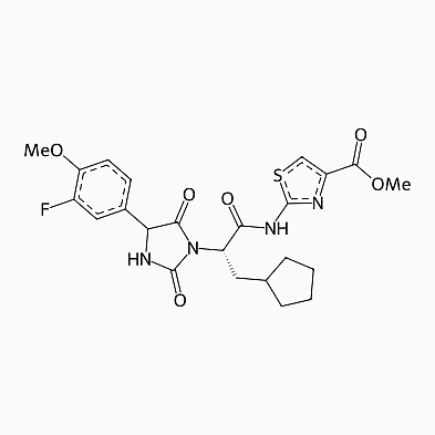 COC(=O)c1csc(NC(=O)[C@H](CC2CCCC2)N2C(=O)NC(c3ccc(OC)c(F)c3)C2=O)n1